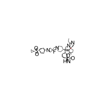 CCc1nccn1C[C@@](c1cccc(F)c1)(C1CCN(CC2(F)CN(c3ccc(S(=O)(=O)C4CC4)cc3)C2)CC1)[C@H]1CCC[C@@H]1OC(=O)NC